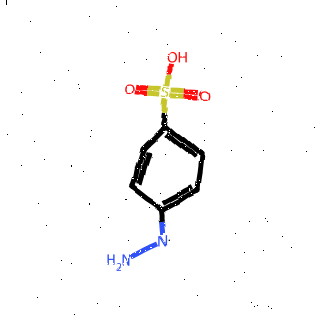 N[N]c1ccc(S(=O)(=O)O)cc1